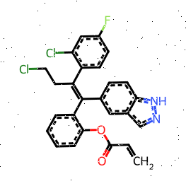 C=CC(=O)Oc1ccccc1/C(=C(\CCCl)c1ccc(F)cc1Cl)c1ccc2[nH]ncc2c1